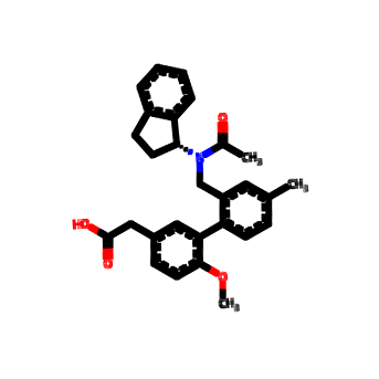 COc1ccc(CC(=O)O)cc1-c1ccc(C)cc1CN(C(C)=O)[C@@H]1CCc2ccccc21